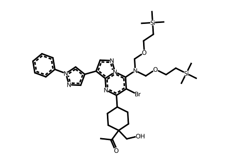 CC(=O)C1(CO)CCC(c2nc3c(-c4cnn(-c5ccccc5)c4)cnn3c(N(COCC[Si](C)(C)C)COCC[Si](C)(C)C)c2Br)CC1